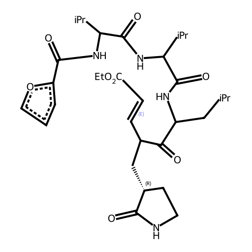 CCOC(=O)/C=C/C(C[C@@H]1CCNC1=O)C(=O)C(CC(C)C)NC(=O)C(NC(=O)C(NC(=O)c1ccco1)C(C)C)C(C)C